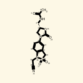 CC(=O)NC[C@H]1CN(c2ccc3c(c2)CS(=O)(=O)N3CC#N)C(=O)O1